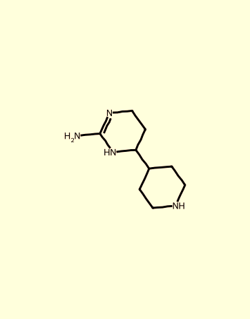 NC1=NCCC(C2CCNCC2)N1